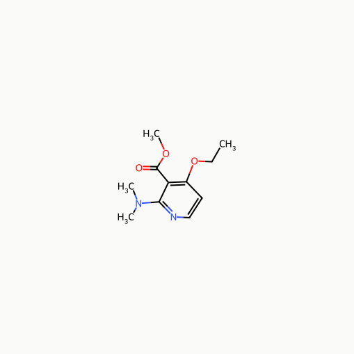 CCOc1ccnc(N(C)C)c1C(=O)OC